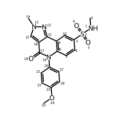 CNS(=O)(=O)c1ccc2c(c1)c1nn(C)cc1c(=O)n2-c1ccc(OC)cc1